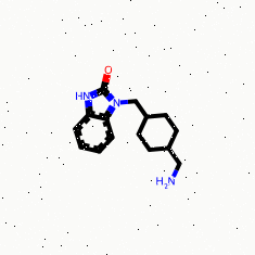 NCC1CCC(Cn2c(=O)[nH]c3ccccc32)CC1